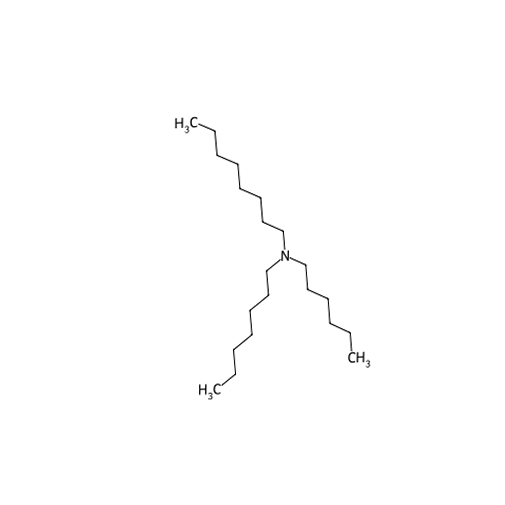 CCCCCCCCN(CCCCCC)CCCCCCC